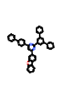 c1ccc(-c2ccc(-c3cc(-c4ccc5c(c4)oc4ccccc45)nc(-c4cc(-c5ccccc5)cc(-c5ccccc5)c4)n3)cc2)cc1